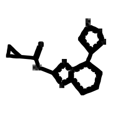 O=C(Nc1nc2cccc(-c3c[nH]nn3)n2n1)C1CC1